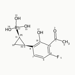 CC(=O)c1c(F)ccc([C@H]2C[C@H]2[B-](O)(O)O)c1O